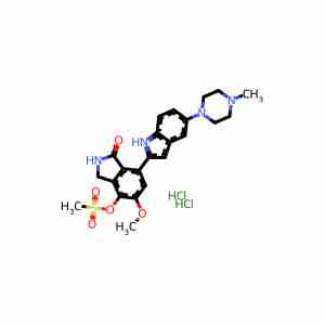 COc1cc(-c2cc3cc(N4CCN(C)CC4)ccc3[nH]2)c2c(c1OS(C)(=O)=O)CNC2=O.Cl.Cl